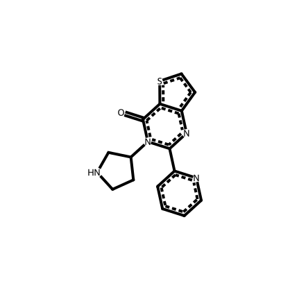 O=c1c2sccc2nc(-c2ccccn2)n1C1CCNC1